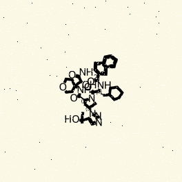 CC(C)(O)c1cnnn1[C@H]1C[C@@H](C(=O)NC2(C(O)C(N)=O)CCOCC2)N(C(=O)[C@@H](CC2CCCCC2)NC(=O)c2ccc3ccccc3c2)C1